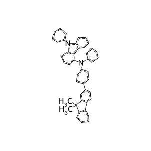 CC1(C)c2ccccc2-c2ccc(-c3ccc(N(c4ccccc4)c4cccc5c4c4ccccc4n5-c4ccccc4)cc3)cc21